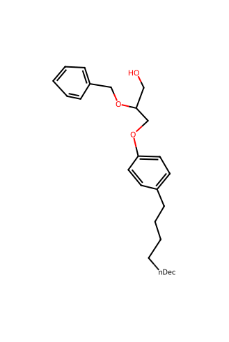 CCCCCCCCCCCCCCc1ccc(OCC(CO)OCc2ccccc2)cc1